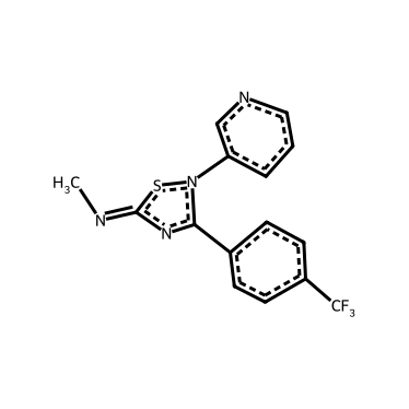 CN=c1nc(-c2ccc(C(F)(F)F)cc2)n(-c2cccnc2)s1